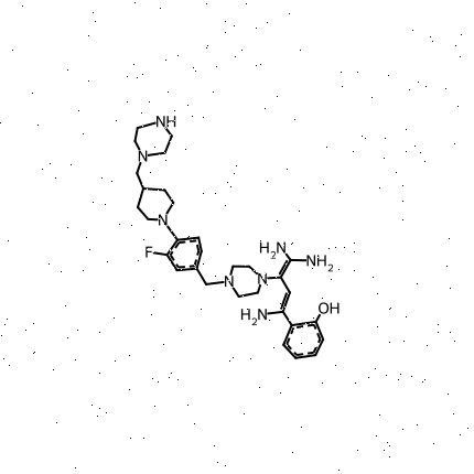 NC(N)=C(/C=C(\N)c1ccccc1O)N1CCN(Cc2ccc(N3CCC(CN4CCNCC4)CC3)c(F)c2)CC1